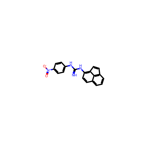 N=C(Nc1ccc([N+](=O)[O-])cc1)Nc1ccc2cccc3c2c1C=C3